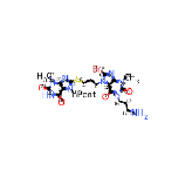 CCCCCn1c(SCCCn2c(Br)nc3c2c(=O)n(CCCN)c(=O)n3C)nc2c1c(=O)[nH]c(=O)n2C